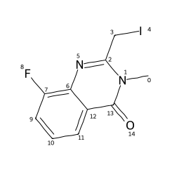 Cn1c(CI)nc2c(F)cccc2c1=O